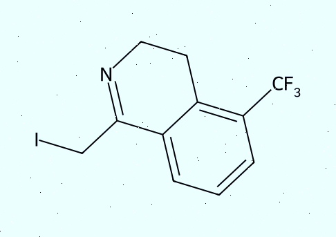 FC(F)(F)c1cccc2c1CCN=C2CI